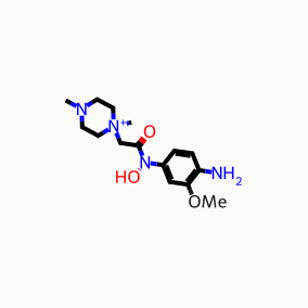 COc1cc(N(O)C(=O)C[N+]2(C)CCN(C)CC2)ccc1N